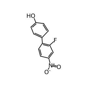 O=[N+]([O-])c1ccc(-c2ccc(O)cc2)c(F)c1